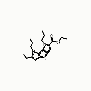 CCCn1c(CC)cc2sc3cc(C(=O)OCC)n(CCC)c3c21